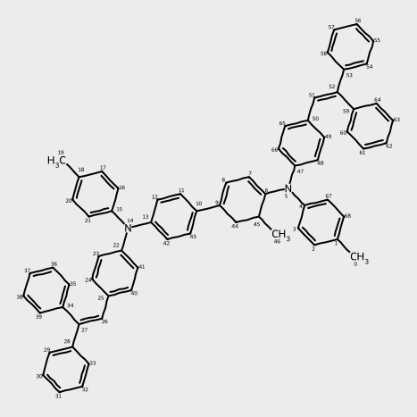 Cc1ccc(N(C2=CC=C(c3ccc(N(c4ccc(C)cc4)c4ccc(C=C(c5ccccc5)c5ccccc5)cc4)cc3)CC2C)c2ccc(C=C(c3ccccc3)c3ccccc3)cc2)cc1